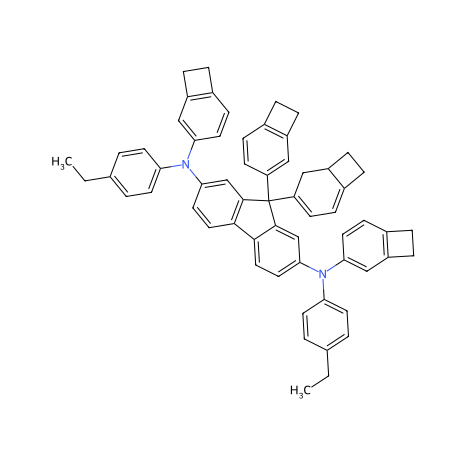 CCc1ccc(N(c2ccc3c(c2)CC3)c2ccc3c(c2)C(C2=CC=C4CCC4C2)(c2ccc4c(c2)CC4)c2cc(N(c4ccc(CC)cc4)c4ccc5c(c4)CC5)ccc2-3)cc1